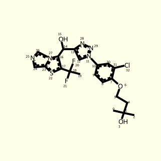 CC(C)(O)CCOc1ccc(-n2cc(C(O)c3c(C(C)(F)F)sc4cncn34)nn2)cc1Cl